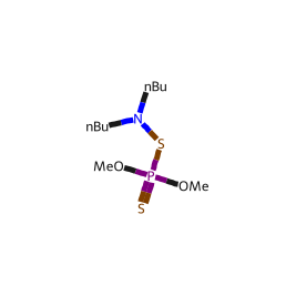 CCCCN(CCCC)SP(=S)(OC)OC